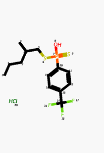 CCCC(C)CSP(O)(=S)c1ccc(C(F)(F)F)cc1.Cl